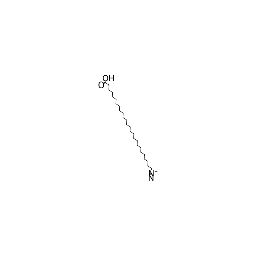 N#[N+]CCCCCCCCCCCCCCCCCCCCCCCCCC(=O)O